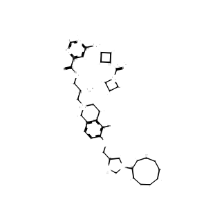 Cc1c(OCC2CN(C3CCCCCCCC3)CO2)ccc2c1CCN(C[C@@H](O)CNC(=O)c1cc(N[C@H]3C[C@H](C(=O)N4CCC4)C3)ncn1)C2